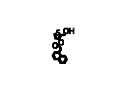 O=C(Cc1cccc2ccccc12)Oc1ccsc1CO